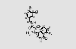 C[C@@H](c1c[nH]c(=O)c2c(F)c(F)ccc12)N(C)C(=O)NCc1ccc(F)c(Cl)c1